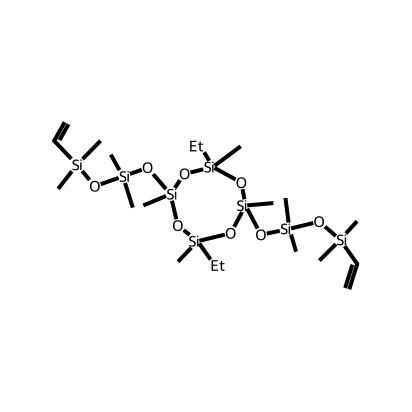 C=C[Si](C)(C)O[Si](C)(C)O[Si]1(C)O[Si](C)(CC)O[Si](C)(O[Si](C)(C)O[Si](C)(C)C=C)O[Si](C)(CC)O1